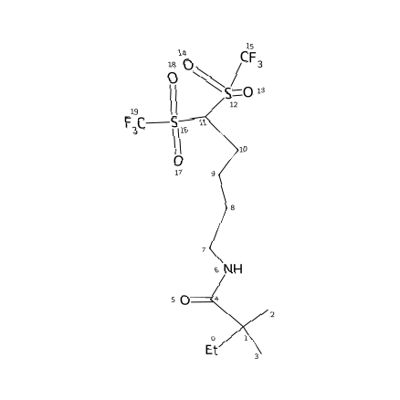 CCC(C)(C)C(=O)NCCCCC(S(=O)(=O)C(F)(F)F)S(=O)(=O)C(F)(F)F